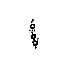 CCC[C@H]1CC[C@H](OC(=O)c2ccc(-c3ccc(F)cc3F)cc2)CC1